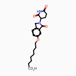 O=C(O)CCCCCCCOc1ccc2c(c1)C(=O)N(C1CCC(=O)NC1=O)C2